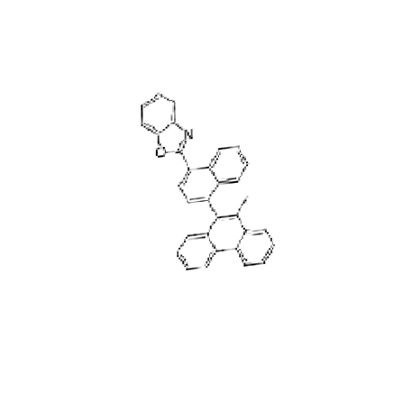 Cc1c(-c2ccc(-c3nc4ccccc4o3)c3ccccc23)c2ccccc2c2ccccc12